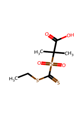 CCSC(=S)S(=O)(=O)C(C)(C)C(=O)O